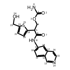 NC(=O)OCC(C(=O)Nc1ccc2cnccc2c1)c1ccc(CO)s1